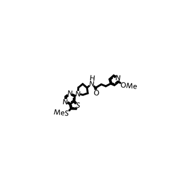 COc1cc(CCC(=O)NC2CCN(c3ncnc4c(SC)csc34)CC2)ccn1